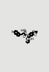 O=C(N[C@H](CN1CCCC1)[C@H](O)c1ccc(OC2CC2)c(Cl)c1)/C(CCc1ccc2cc(F)ccc2c1)=N/O